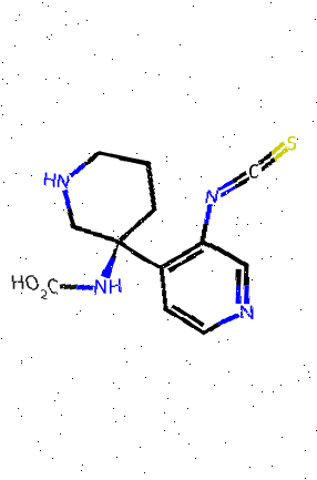 O=C(O)N[C@]1(c2ccncc2N=C=S)CCCNC1